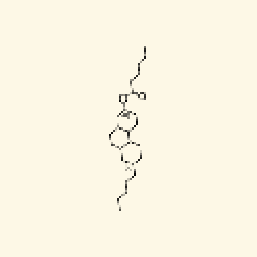 CCCCCC(=O)O[C@@H]1CCC2C(CCC3C[C@H](CCCCC)CCC32)C1